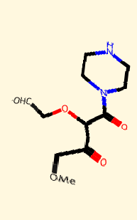 COCC(=O)C(OC[C]=O)C(=O)N1CCNCC1